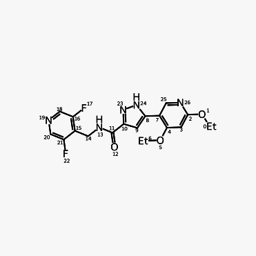 CCOc1cc(OCC)c(-c2cc(C(=O)NCc3c(F)cncc3F)n[nH]2)cn1